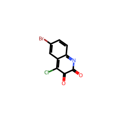 O=C1N=c2ccc(Br)cc2=C(Cl)C1=O